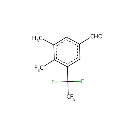 Cc1cc(C=O)cc(C(F)(F)C(F)(F)F)c1C(F)(F)F